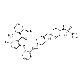 C[C@@H]1COC[C@@H](C)N1C(=O)c1cc(F)ccc1Oc1cncnc1N1CC2(CCN(C[C@@]3(O)CC[C@@H](NS(=O)(=O)N4CCC4)CO3)CC2)C1